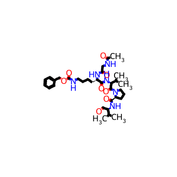 CC(=O)NCC(=O)N[C@@H](CCCCNC(=O)OCc1ccccc1)C(=O)N[C@H](C(=O)N1CCC[C@H]1C(=O)N[C@H](C=O)C(C)C)C(C)C